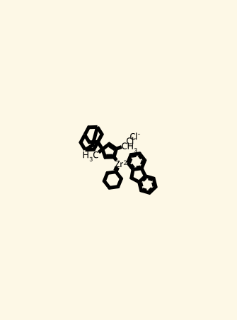 CC1=CC(C)(C23CC4CC(CC(C4)C2)C3)C=[C]1[Zr+2](=[C]1CCCCC1)[c]1cccc2c1Cc1ccccc1-2.[Cl-].[Cl-]